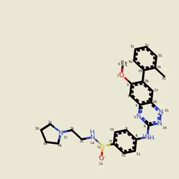 CCOc1cc2nc(Nc3ccc([S+]([O-])NCCN4CCCC4)cc3)nnc2cc1-c1ccccc1C